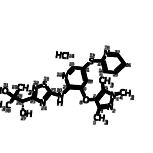 Cc1nn(C)c(C)c1Oc1cc(Sc2ccccn2)cnc1Nc1nc([C@H](O)C(C)(C)O)ns1.Cl